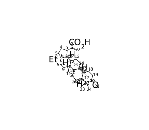 C=C(C(=O)O)[C@@H]1CC[C@]2(CC)CC[C@]3(C)[C@H](CC[C@@H]4[C@@]5(C)CCC(=O)C(C)(C)[C@@H]5CC[C@]43C)[C@@H]12